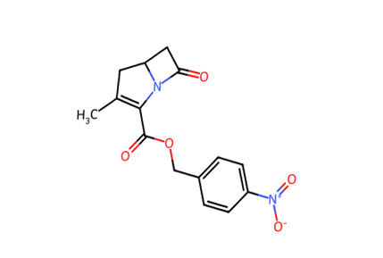 CC1=C(C(=O)OCc2ccc([N+](=O)[O-])cc2)N2C(=O)CC2C1